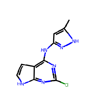 Cc1cc(Nc2nc(Cl)nc3[nH]ccc23)n[nH]1